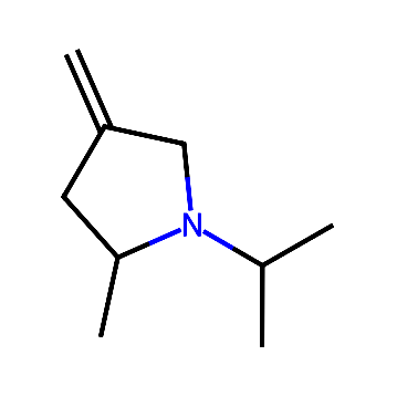 C=C1CC(C)N(C(C)C)C1